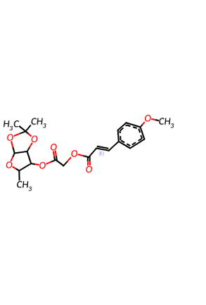 COc1ccc(/C=C/C(=O)OCC(=O)OC2C(C)OC3OC(C)(C)OC32)cc1